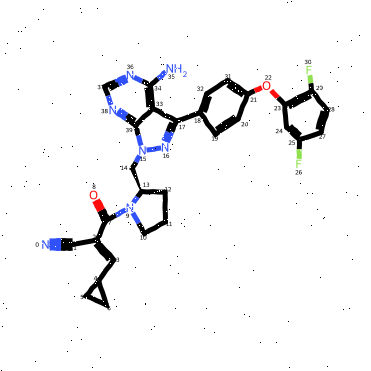 N#C/C(=C\C1CC1)C(=O)N1CCC[C@@H]1Cn1nc(-c2ccc(Oc3cc(F)ccc3F)cc2)c2c(N)ncnc21